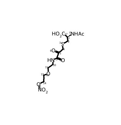 CC(=O)N[C@@H](CSCC(=O)C(=O)NCCOCCO[N+](=O)[O-])C(=O)O